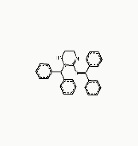 c1ccc(C(SC2=NCCNN2C(c2ccccc2)c2ccccc2)c2ccccc2)cc1